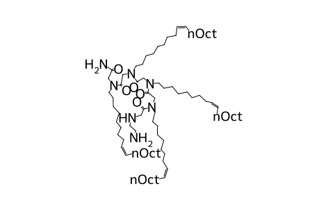 CCCCCCCC/C=C\CCCCCCCCN(CC(N)=O)C(=O)CN(CCCCCCCC/C=C\CCCCCCCC)C(=O)CN(CCCCCCCC/C=C\CCCCCCCC)C(=O)CN(CCCCCCCC/C=C\CCCCCCCC)C(=O)CNCCN